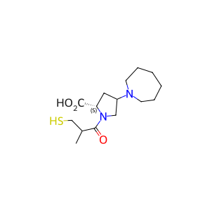 CC(CS)C(=O)N1CC(N2CCCCCC2)C[C@H]1C(=O)O